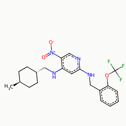 C[C@H]1CC[C@H](CNc2cc(NCc3ccccc3OC(F)(F)F)ncc2[N+](=O)[O-])CC1